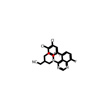 CC1CCC(CC#N)CN1c1ncnc2c(F)ccc(-c3ccc(Cl)c(Cl)c3)c12